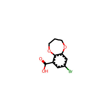 O=C(O)c1cc(Br)cc2c1OCCCO2